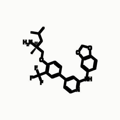 CC(C)C[C@](C)(N)COc1ccc(-c2ccnc(Nc3ccc4c(c3)OCO4)c2)cc1C(F)(F)F